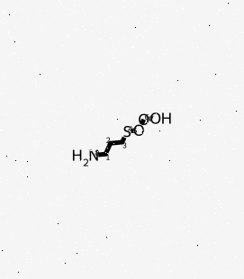 NCCCSOOO